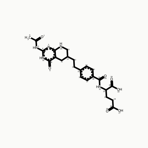 CC(=O)Nc1nc2c(c(=O)[nH]1)CC(CCc1ccc(C(=O)NC(CCC(=O)O)C(=O)O)cc1)CN2